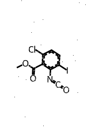 COC(=O)c1c(Cl)ccc(I)c1N=C=O